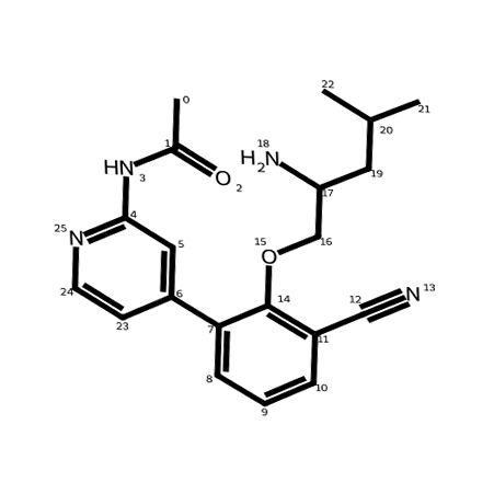 CC(=O)Nc1cc(-c2cccc(C#N)c2OCC(N)CC(C)C)ccn1